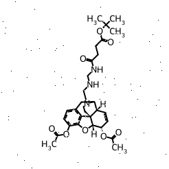 CC(=O)Oc1ccc2c3c1O[C@H]1[C@@H](OC(C)=O)C=C[C@H]4C(C2)N(CNCNC(=O)CCC(=O)OC(C)(C)C)CC[C@@]341